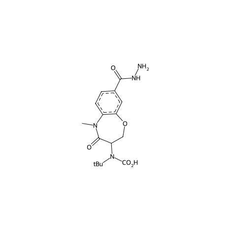 CN1C(=O)C(N(C(=O)O)C(C)(C)C)COc2cc(C(=O)NN)ccc21